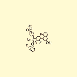 CC(C)(C)OC(=O)N1CCN(c2c(C#N)c(OC[C@@]34CCCN3C[C@H](F)C4)nc3c(F)c(-c4cc(O)cc5cccc(F)c45)ccc23)CC1